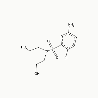 Nc1ccc(Cl)c(S(=O)(=O)N(CCO)CCO)c1